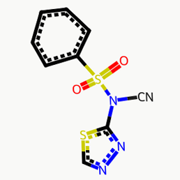 N#CN(c1nncs1)S(=O)(=O)c1ccccc1